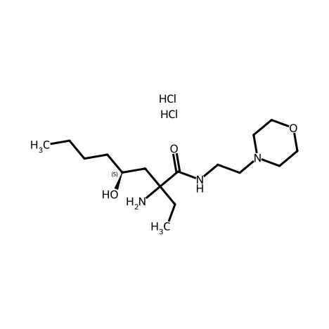 CCCC[C@H](O)CC(N)(CC)C(=O)NCCN1CCOCC1.Cl.Cl